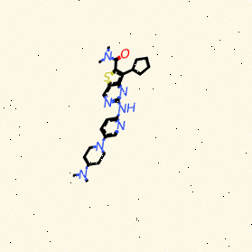 CN(C)C(=O)c1sc2cnc(Nc3ccc(N4CCC(N(C)C)CC4)cn3)nc2c1C1CCCC1